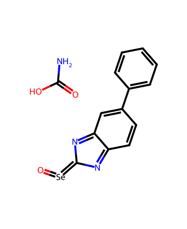 NC(=O)O.O=[Se]=C1N=c2ccc(-c3ccccc3)cc2=N1